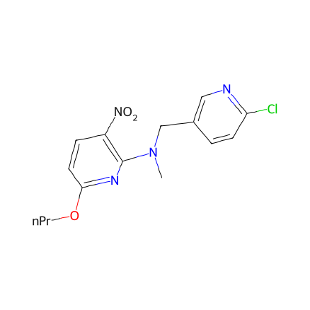 CCCOc1ccc([N+](=O)[O-])c(N(C)Cc2ccc(Cl)nc2)n1